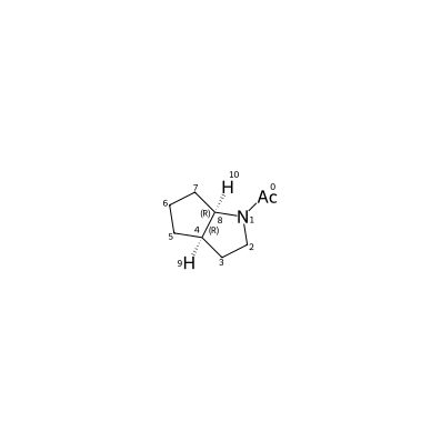 CC(=O)N1CC[C@H]2CCC[C@H]21